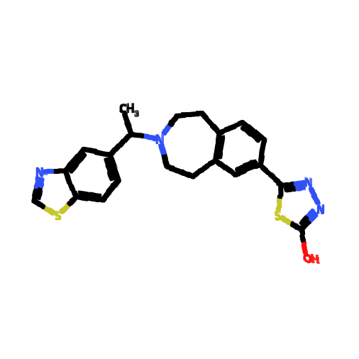 CC(c1ccc2scnc2c1)N1CCc2ccc(-c3nnc(O)s3)cc2CC1